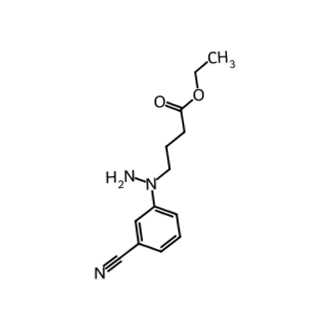 CCOC(=O)CCCN(N)c1cccc(C#N)c1